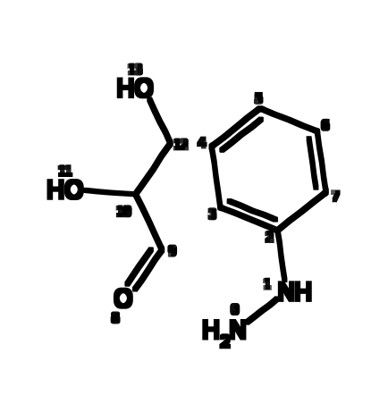 NNc1ccccc1.O=CC(O)CO